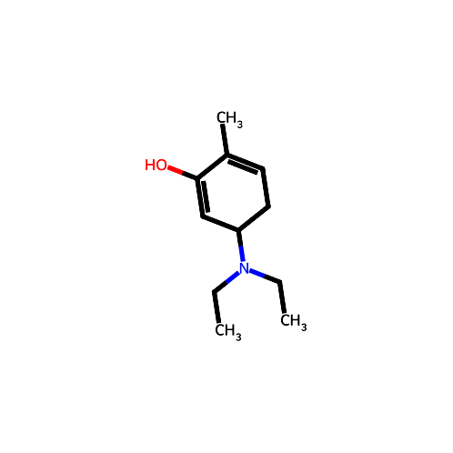 CCN(CC)C1C=C(O)C(C)=CC1